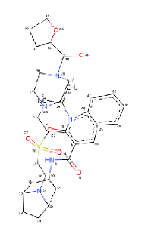 CC(C)n1c(=O)c(C(=O)NC2CC3CCC(C2)N3CCS(=O)(=O)CCN2CCN(C(=O)C3CCCO3)CC2)cc2ccccc21